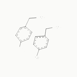 COCc1ccc(C(=O)O)cc1.COCc1ccc(N)cc1